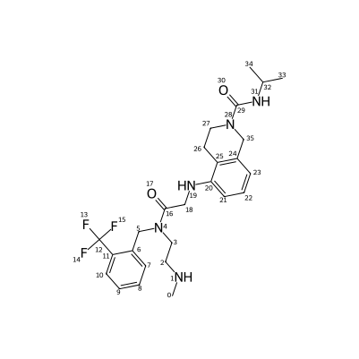 CNCCN(Cc1ccccc1C(F)(F)F)C(=O)CNc1cccc2c1CCN(C(=O)NC(C)C)C2